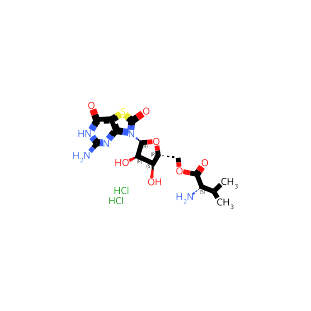 CC(C)[C@H](N)C(=O)OC[C@H]1O[C@@H](n2c(=O)sc3c(=O)[nH]c(N)nc32)[C@H](O)[C@@H]1O.Cl.Cl